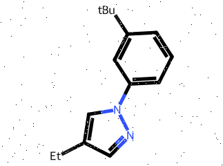 CCc1cnn(-c2cccc(C(C)(C)C)c2)c1